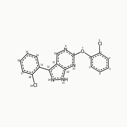 Clc1ccccc1Oc1ncc2c(-c3ccccc3Cl)n[nH]c2n1